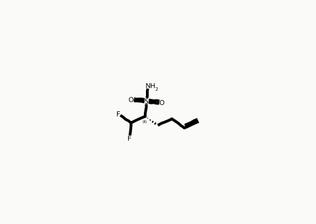 C=CCC[C@H](C(F)F)S(N)(=O)=O